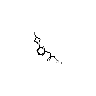 COC(=O)Cc1cccc(N2CC(F)C2)n1